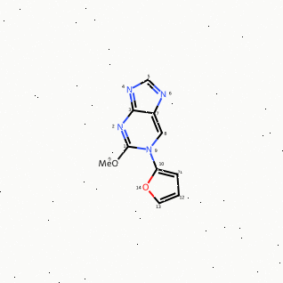 COc1nc2ncnc-2cn1-c1ccco1